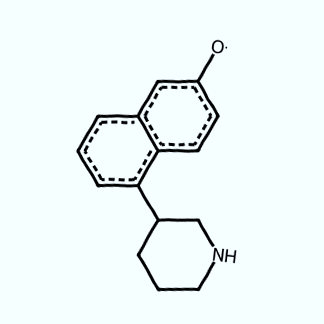 [O]c1ccc2c(C3CCCNC3)cccc2c1